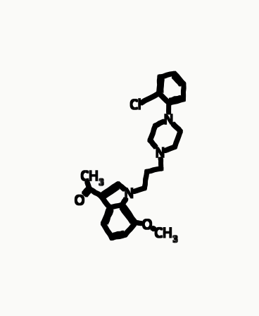 COc1cccc2c(C(C)=O)cn(CCCN3CCN(c4ccccc4Cl)CC3)c12